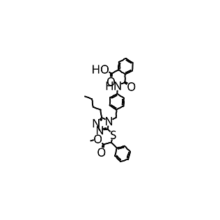 CCCCc1nnc(SC(C(=O)OC)c2ccccc2)n1Cc1ccc(NC(=O)c2ccccc2C(=O)O)cc1